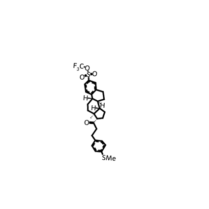 CSc1ccc(CCC(=O)[C@H]2CC[C@H]3[C@@H]4CCc5cc(S(=O)(=O)OC(F)(F)F)ccc5[C@H]4CC[C@]23C)cc1